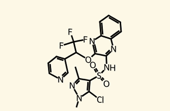 Cc1nn(C)c(Cl)c1S(=O)(=O)Nc1nc2ccccc2nc1OC(c1cccnc1)C(F)(F)F